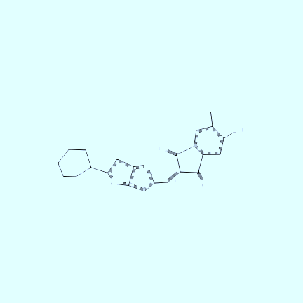 CCc1cc2c(cc1C)C(=O)/C(=C\c1cc3oc(C4CCCCC4)cc3s1)C2=O